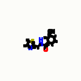 N#Cc1cccc(C(=O)NCc2nccs2)c1